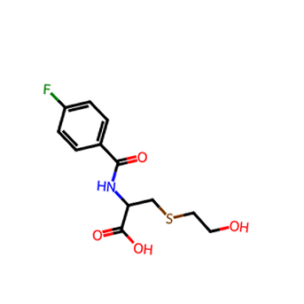 O=C(NC(CSCCO)C(=O)O)c1ccc(F)cc1